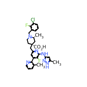 Cc1cc(Nc2nc(C[C@@]3(C(=O)O)CCN(Cc4cccc(Cl)c4F)[C@H](C)C3)cc(-c3ncccc3C)c2F)n[nH]1